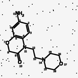 Nc1ccc2c(c1)OCC(=O)N2CCN1CCOCC1